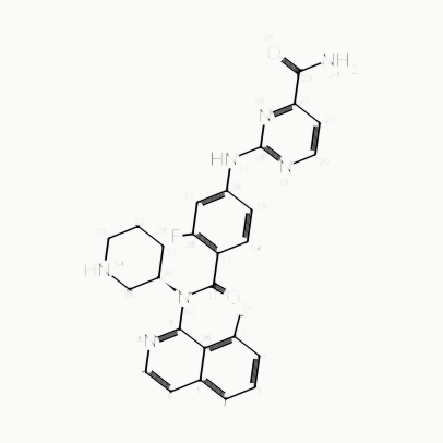 Cc1cccc2ccnc(N(C(=O)c3ccc(Nc4nccc(C(N)=O)n4)cc3F)[C@@H]3CCCNC3)c12